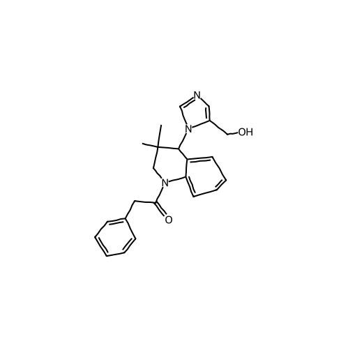 CC1(C)CN(C(=O)Cc2ccccc2)c2ccccc2C1n1cncc1CO